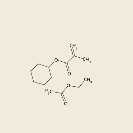 C=C(C)C(=O)OC1CCCCC1.CCOC(C)=O